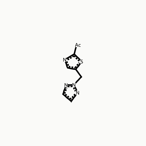 CC(=O)c1ncc(Cn2n[c]cn2)s1